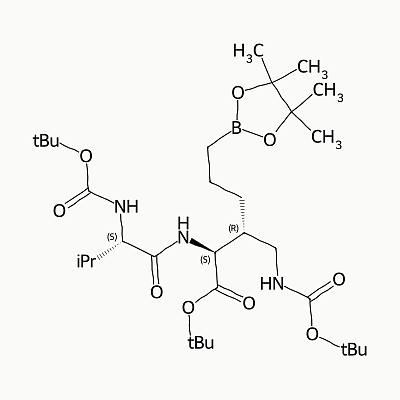 CC(C)[C@H](NC(=O)OC(C)(C)C)C(=O)N[C@H](C(=O)OC(C)(C)C)[C@H](CCCB1OC(C)(C)C(C)(C)O1)CNC(=O)OC(C)(C)C